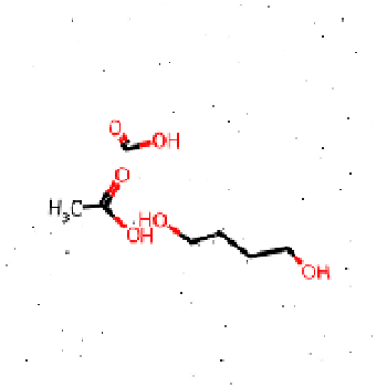 CC(=O)O.O=CO.OCCCCO